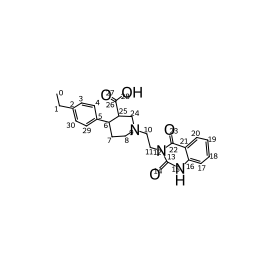 CCc1ccc(C2CCN(CCn3c(=O)[nH]c4ccccc4c3=O)CC2C(=O)O)cc1